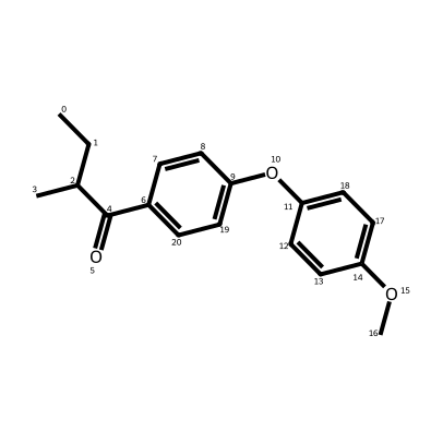 CCC(C)C(=O)c1ccc(Oc2ccc(OC)cc2)cc1